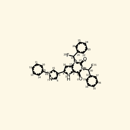 O=c1c2[nH]c(-c3cnn(-c4ccccc4)c3)cc2n(C(F)c2ccccc2)c(=O)n1C(F)c1ccccc1